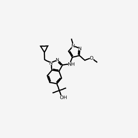 COCc1nn(C)cc1Nc1nn(CC2CC2)c2ccc(C(C)(C)O)cc12